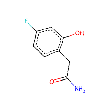 NC(=O)Cc1ccc(F)cc1O